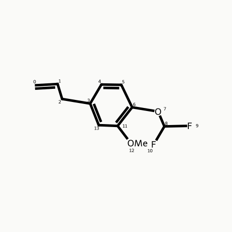 C=CCc1ccc(OC(F)F)c(OC)c1